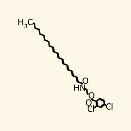 CCCCCCCCCC=CC=CC=CC=CC=CC=CC(=O)NCCOC(=O)c1ccc(Cl)cc1Cl